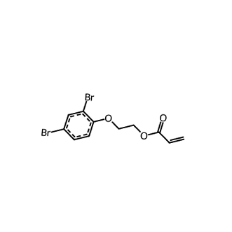 C=CC(=O)OCCOc1ccc(Br)cc1Br